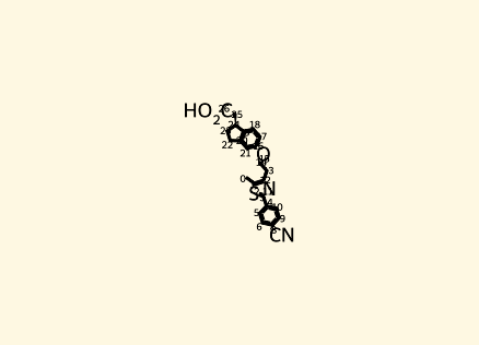 Cc1sc(-c2ccc(C#N)cc2)nc1CCOc1ccc2c(c1)CC[C@H]2CC(=O)O